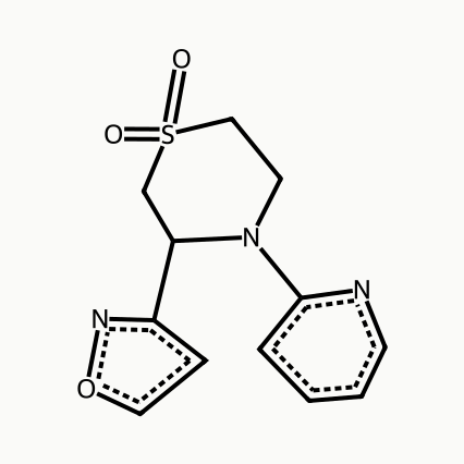 O=S1(=O)CCN(c2ccccn2)C(c2ccon2)C1